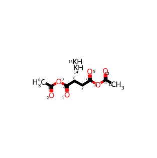 CC(=O)OC(=O)CCC(=O)OC(C)=O.[KH].[KH]